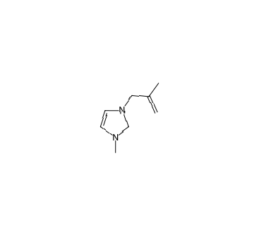 C=C(C)CN1C=CN(C)C1